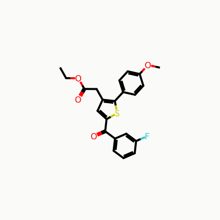 CCOC(=O)Cc1cc(C(=O)c2cccc(F)c2)sc1-c1ccc(OC)cc1